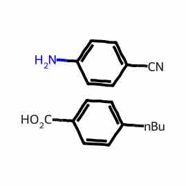 CCCCc1ccc(C(=O)O)cc1.N#Cc1ccc(N)cc1